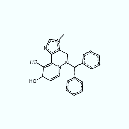 Cn1cnc2c1CN(C(c1ccccc1)c1ccccc1)N1C=CC(O)C(O)=C21